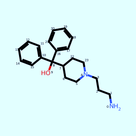 NCCCN1CCC(C(O)(c2ccccc2)c2ccccc2)CC1